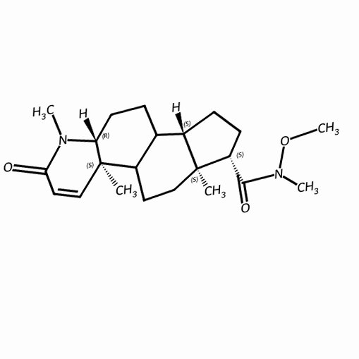 CON(C)C(=O)[C@H]1CC[C@H]2C3CC[C@H]4N(C)C(=O)C=C[C@]4(C)C3CC[C@]12C